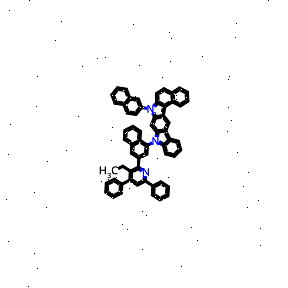 CCc1c(-c2ccccc2)cc(-c2ccccc2)nc1-c1cc(-n2c3ccccc3c3cc4c5c6ccccc6ccc5n(-c5ccc6ccccc6c5)c4cc32)c2ccccc2c1